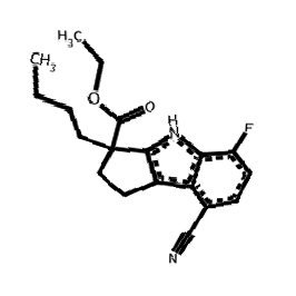 CCCCC1(C(=O)OCC)CCc2c1[nH]c1c(F)ccc(C#N)c21